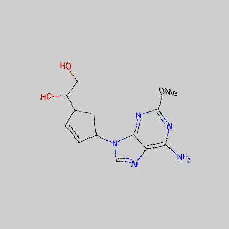 COc1nc(N)c2ncn(C3C=CC(C(O)CO)C3)c2n1